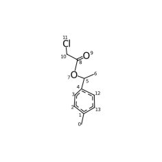 Cc1ccc(C(C)OC(=O)CCl)cc1